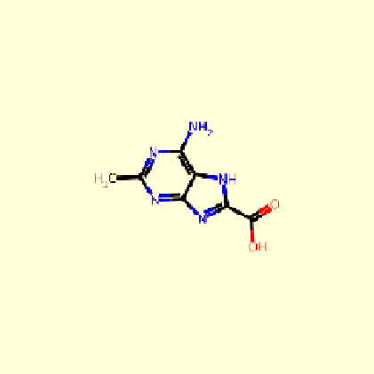 Cc1nc(N)c2[nH]c(C(=O)O)nc2n1